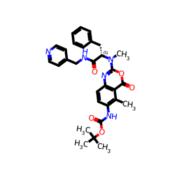 Cc1c(NC(=O)OC(C)(C)C)ccc2nc(N(C)[C@@H](Cc3ccccc3)C(=O)NCc3ccncc3)oc(=O)c12